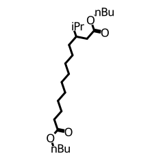 CCCCOC(=O)CCCCCCCCCC(CC(=O)OCCCC)C(C)C